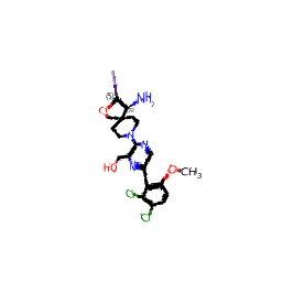 COc1ccc(Cl)c(Cl)c1-c1cnc(N2CCC3(CC2)CO[C@@H](I)[C@H]3N)c(CO)n1